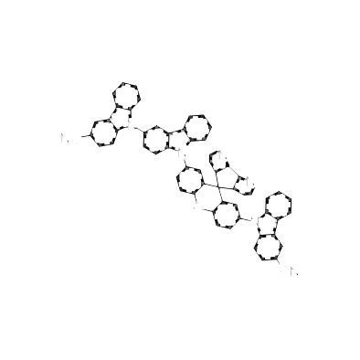 N#Cc1ccc2c(c1)c1ccccc1n2-c1ccc2c(c1)C1(c3cc(-n4c5ccccc5c5cc(-n6c7ccccc7c7cc(C#N)ccc76)ccc54)ccc3O2)c2cccnc2-c2ncccc21